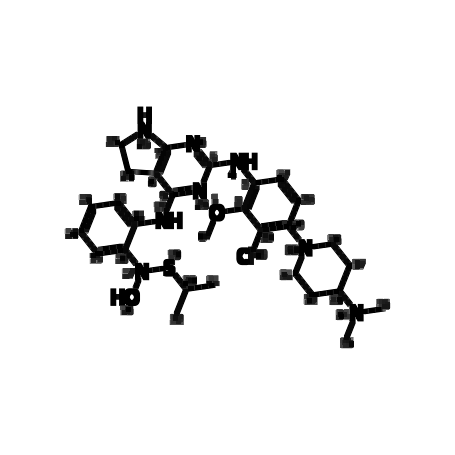 COc1c(Nc2nc3c(c(Nc4ccccc4N(O)SC(C)C)n2)CCN3)ccc(N2CCC(N(C)C)CC2)c1Cl